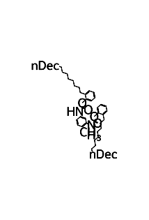 CCCCCCCCCCCCCCCCCCc1ccccc1OC(=O)Nc1ccc(C)c(NC(=O)Oc2ccccc2CCCCCCCCCCCCCCCCCC)c1